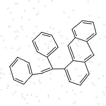 C(=C(c1ccccc1)c1cccc2cc3ccccc3cc12)c1ccccc1